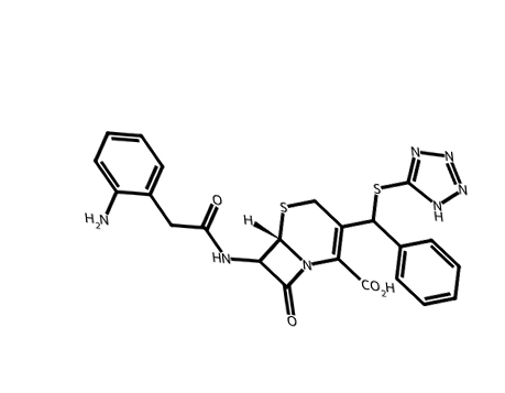 Nc1ccccc1CC(=O)NC1C(=O)N2C(C(=O)O)=C(C(Sc3nnn[nH]3)c3ccccc3)CS[C@@H]12